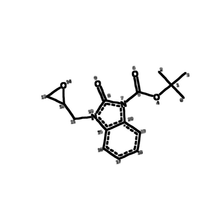 CC(C)(C)OC(=O)n1c(=O)n(CC2CO2)c2ccccc21